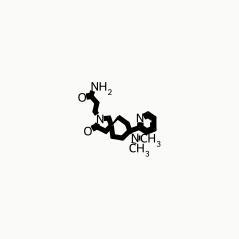 CN(C)[C@]1(c2ccccn2)CC[C@@]2(CC1)CC(=O)N(CCC(N)=O)C2